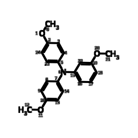 COc1ccc(N(c2ccc(OC)cc2)c2cccc(OC)c2)cc1